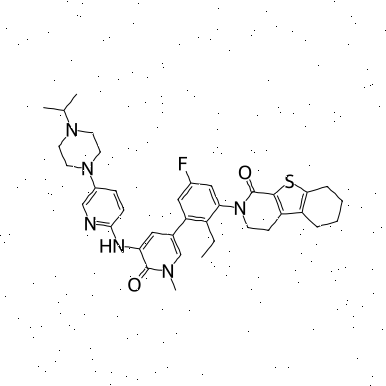 CCc1c(-c2cc(Nc3ccc(N4CCN(C(C)C)CC4)cn3)c(=O)n(C)c2)cc(F)cc1N1CCc2c(sc3c2CCCC3)C1=O